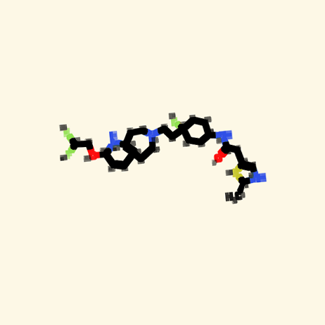 C[C@@H]1NC=C(CC(=O)NC2CCC(F)(CCN3CCC4=C(CC3)NC(OCC(F)F)C=C4)CC2)S1